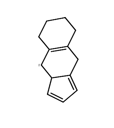 [C]1C2=C(CCCC2)CC2=CC=CC12